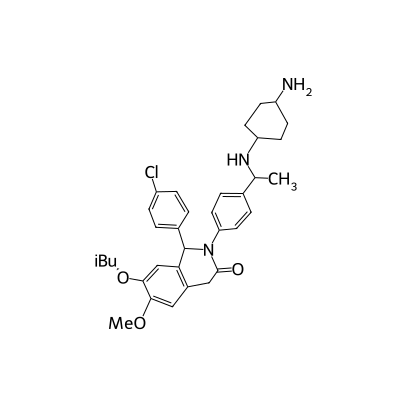 CC[C@@H](C)Oc1cc2c(cc1OC)CC(=O)N(c1ccc(C(C)NC3CCC(N)CC3)cc1)C2c1ccc(Cl)cc1